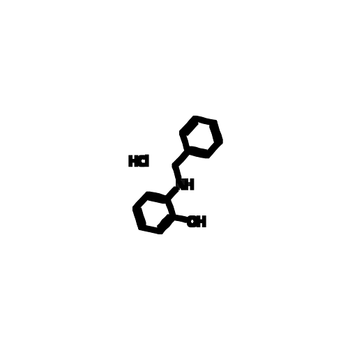 Cl.Oc1ccccc1NCc1ccccc1